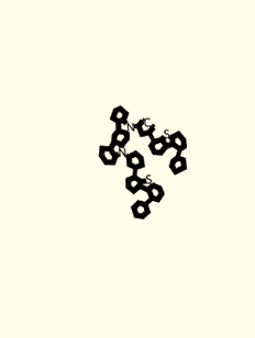 c1ccc(-c2cccc3sc4c(-c5cccc(-n6c7ccccc7c7cc8c9ccccc9n(-c9cccc(-c%10cccc%11c%10sc%10cccc(-c%12ccccc%12)c%10%11)c9)c8cc76)c5)cccc4c23)cc1